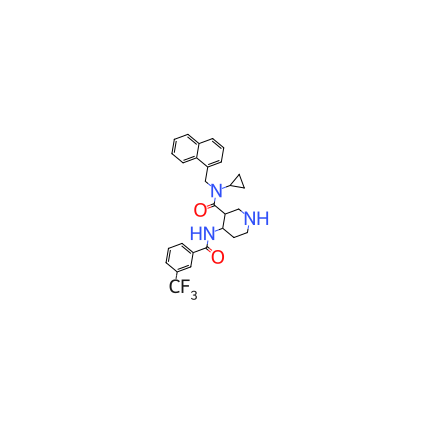 O=C(NC1CCNCC1C(=O)N(Cc1cccc2ccccc12)C1CC1)c1cccc(C(F)(F)F)c1